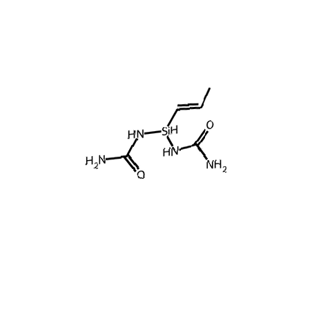 CC=C[SiH](NC(N)=O)NC(N)=O